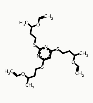 C=COC(C)CCSc1cc(SCCC(C)OC=C)nc(SCCC(C)OC=C)n1